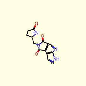 O=C1CC[C@H](CN2C(=O)c3cnc4[nH]ncc4c3C2=O)N1